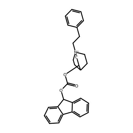 O=C(OC1c2ccccc2-c2ccccc21)OC1C[N+]2(CCc3ccccc3)CCC1CC2